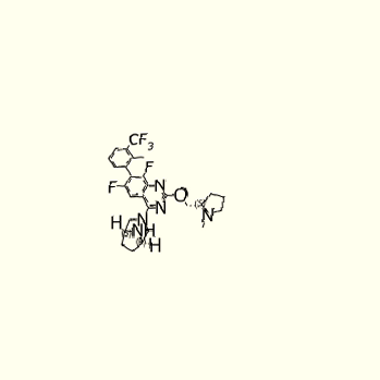 Cc1c(-c2c(F)cc3c(N4C[C@H]5CC[C@@H](C4)N5)nc(OC[C@@H]4CCCN4C)nc3c2F)cccc1C(F)(F)F